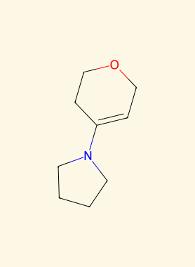 C1=C(N2CCCC2)CCOC1